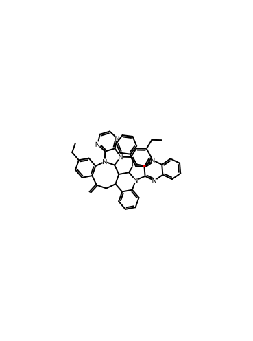 C=C1CC2c3ccccc3N3c4nc5ccccc5nc4N(c4ccccc4)C3C2C2N(c3cccc(CC)c3)c3nccnc3N2c2cc(CC)ccc21